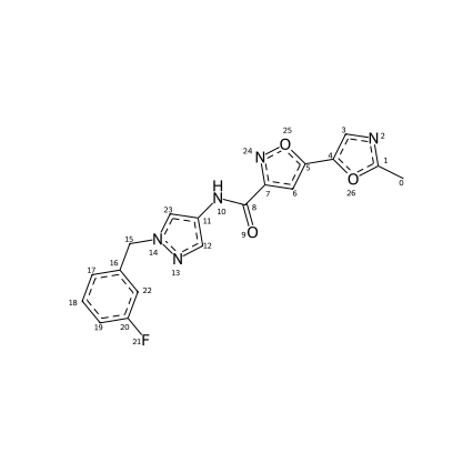 Cc1ncc(-c2cc(C(=O)Nc3cnn(Cc4cccc(F)c4)c3)no2)o1